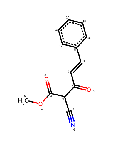 COC(=O)C(C#N)C(=O)C=Cc1ccccc1